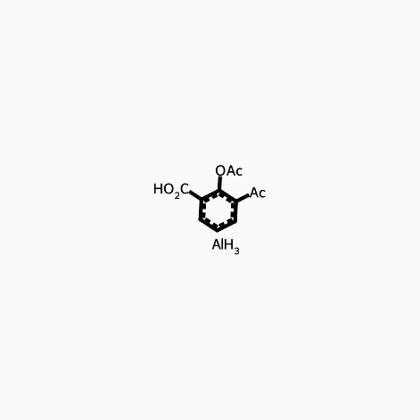 CC(=O)Oc1c(C(C)=O)cccc1C(=O)O.[AlH3]